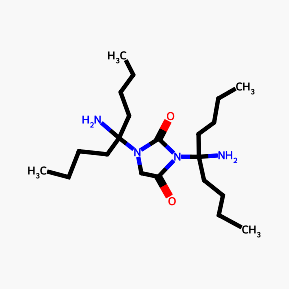 CCCCC(N)(CCCC)N1CC(=O)N(C(N)(CCCC)CCCC)C1=O